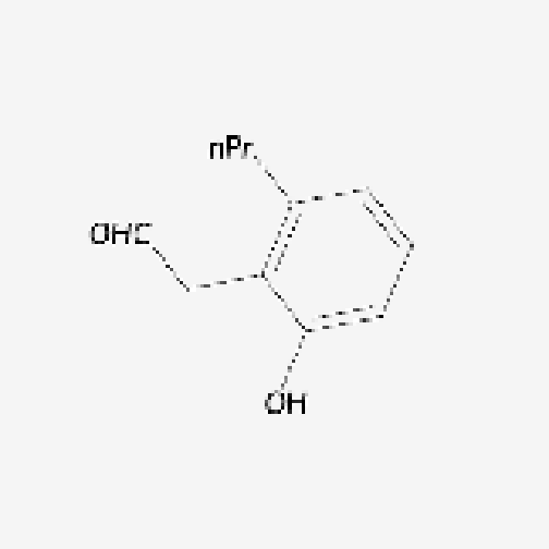 CCCc1cccc(O)c1CC=O